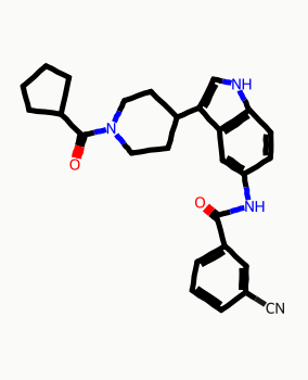 N#Cc1cccc(C(=O)Nc2ccc3[nH]cc(C4CCN(C(=O)C5CCCC5)CC4)c3c2)c1